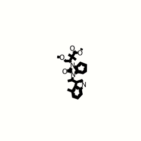 COCC(n1c(=O)n(C(C)C2C=Nc3cccc(C)c32)c2ccccc21)C(C)(C)C(=O)OC